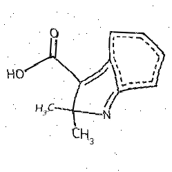 CC1(C)N=c2ccccc2=C1C(=O)O